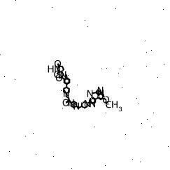 CCOc1cc(-c2ccc(N3CCC(CN4CCN(C(=O)CCN5CCC(c6ccc7c(c6)C(=O)N(C6CCC(=O)NC6=O)C7)CC5)CC4)CC3)nc2)c2c(C#N)cnn2c1